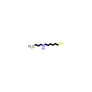 CCCCNCCCCCCS